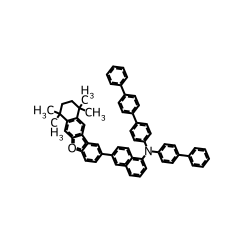 CC1(C)CCC(C)(C)c2cc3c(cc21)oc1ccc(-c2ccc4c(N(c5ccc(-c6ccccc6)cc5)c5ccc(-c6ccc(-c7ccccc7)cc6)cc5)cccc4c2)cc13